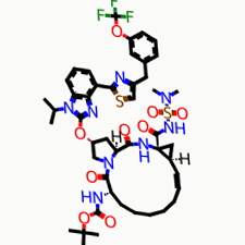 CC(C)n1c(O[C@@H]2C[C@H]3C(=O)N[C@]4(C(=O)NS(=O)(=O)N(C)C)C[C@H]4/C=C\CCCCC[C@H](NC(=O)OC(C)(C)C)C(=O)N3C2)nc2c(-c3nc(Cc4cccc(OC(F)(F)F)c4)cs3)cccc21